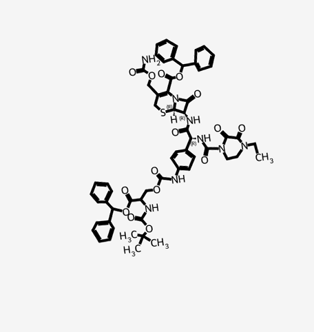 CCN1CCN(C(=O)N[C@@H](C(=O)N[C@@H]2C(=O)N3C(C(=O)OC(c4ccccc4)c4ccccc4)=C(COC(N)=O)CS[C@H]23)c2ccc(NC(=O)OCC(NC(=O)OC(C)(C)C)C(=O)OC(c3ccccc3)c3ccccc3)cc2)C(=O)C1=O